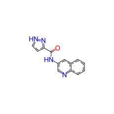 O=C(Nc1cnc2ccccc2c1)c1cc[nH]n1